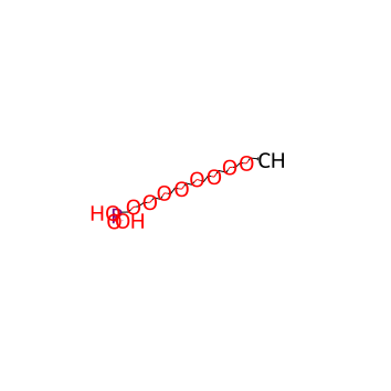 C#CCOCCOCCOCCOCCOCCOCCOCCOCCP(=O)(O)O